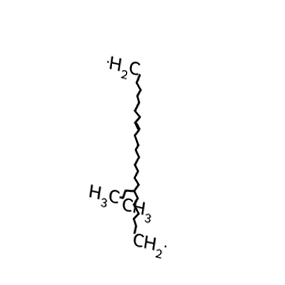 [CH2]CCCCCCCC=CCCCCCCCCC(CCCCCC[CH2])CC(C)C